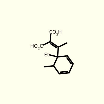 CCC1(C(C)=C(C(=O)O)C(=O)O)C=CC=CC1C